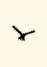 CCCCCCCCCCCCc1cc(C#N)c(C#N)cc1CCCCCCCCCCCC